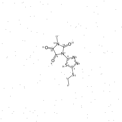 CCSc1nnc(N2C(=O)C(=O)N(C)C2=O)s1